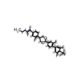 CCC/C(F)=C(\F)c1ccc(C2COC(c3ccc(-c4cc(F)c(C(F)(F)F)c(F)c4)c(F)c3)OC2)c(F)c1